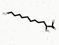 CCCCCCCCCCC(N)C(=O)Cl